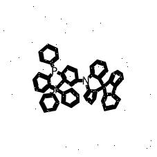 c1ccc(P2c3ccccc3[Si](c3ccccc3)(c3ccccc3)c3cc(N4c5ccccc5C5(c6ccccc6-c6ccccc65)c5ccccc54)ccc32)cc1